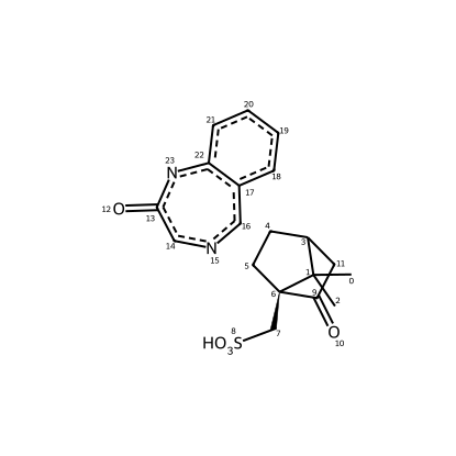 CC1(C)C2CC[C@@]1(CS(=O)(=O)O)C(=O)C2.O=c1cncc2ccccc2n1